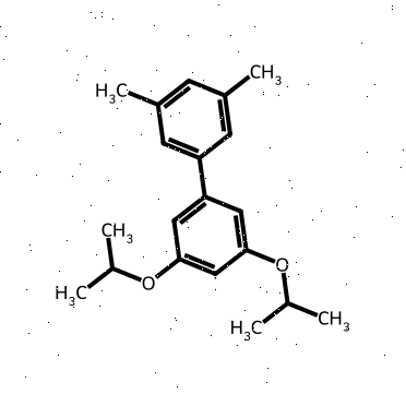 Cc1cc(C)cc(-c2cc(OC(C)C)[c]c(OC(C)C)c2)c1